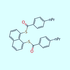 CCCc1ccc(C(=O)Sc2cccc3cccc(SC(=O)c4ccc(CCC)cc4)c23)cc1